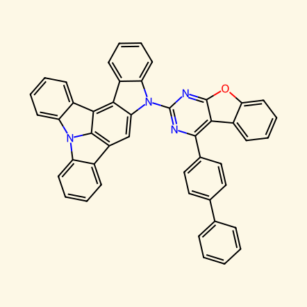 c1ccc(-c2ccc(-c3nc(-n4c5ccccc5c5c6c7ccccc7n7c8ccccc8c(cc54)c67)nc4oc5ccccc5c34)cc2)cc1